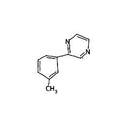 Cc1cccc(-c2[c]nccn2)c1